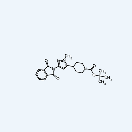 Cn1nc(N2C(=O)c3ccccc3C2=O)cc1C1CCN(C(=O)OC(C)(C)C)CC1